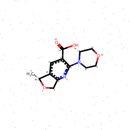 C[C@H]1OCc2nc(N3CCOCC3)c(C(=O)O)cc21